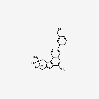 CC(C)(O)Cn1c(CO)nc2c(N)nc3cc(-c4cncc(CO)c4)cnc3c21